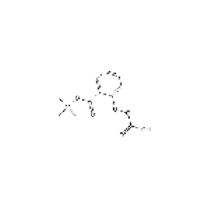 CC(C)(C)OC(=O)c1ccccc1OOC(=O)O